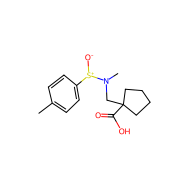 Cc1ccc([S+]([O-])N(C)CC2(C(=O)O)CCCC2)cc1